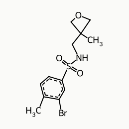 Cc1ccc(S(=O)(=O)NCC2(C)COC2)cc1Br